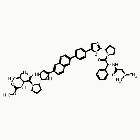 COC(=O)N[C@H](C(=O)N1CCC[C@H]1C1NC=C(c2ccc3cc(-c4ccc(-c5cnc([C@@H]6CCCN6C(=O)[C@H](NC(=O)CN(C)C)c6ccccc6)[nH]5)cc4)ccc3c2)N1)C(C)C